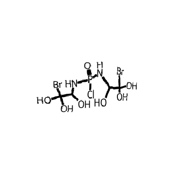 O=P(Cl)(NC(O)C(O)(O)Br)NC(O)C(O)(O)Br